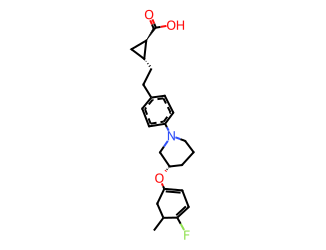 CC1CC(O[C@H]2CCCN(c3ccc(CC[C@@H]4C[C@H]4C(=O)O)cc3)C2)=CC=C1F